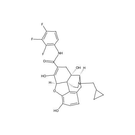 O=C(Nc1ccc(F)c(F)c1F)C1=C(O)[C@@H]2Oc3c(O)ccc4c3[C@@]23CCN(CC2CC2)[C@H](C4)[C@]3(O)C1